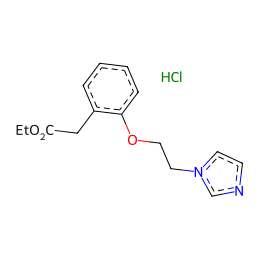 CCOC(=O)Cc1ccccc1OCCn1ccnc1.Cl